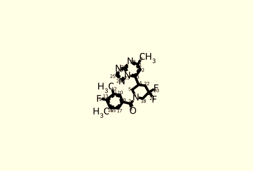 Cc1cc(C2CN(C(=O)c3cc(C)c(F)c(C)c3)CC(F)(F)C2)n2ncnc2n1